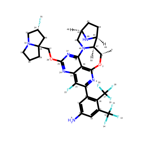 C[C@@H]1Oc2nc(-c3cc(N)cc(C(F)(F)F)c3C(F)(F)F)c(F)c3nc(OC[C@@]45CCCN4C[C@H](F)C5)nc(c23)N2C[C@H]3CC[C@H](N3)[C@@H]12